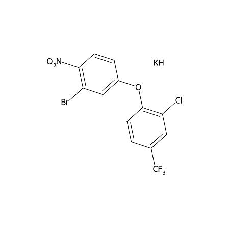 O=[N+]([O-])c1ccc(Oc2ccc(C(F)(F)F)cc2Cl)cc1Br.[KH]